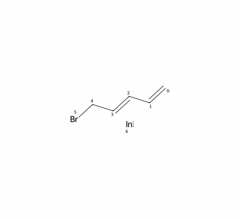 C=CC=CCBr.[In]